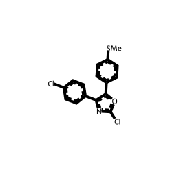 CSc1ccc(-c2oc(Cl)nc2-c2ccc(Cl)cc2)cc1